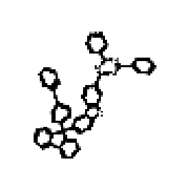 c1ccc(-c2ccc(C3(c4ccc5oc6cc(-c7nc(-c8ccccc8)nc(-c8ccccc8)n7)ccc6c5c4)c4ccccc4-c4ccccc43)cc2)cc1